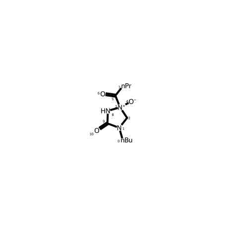 CCCCN1C[N+]([O-])(C(=O)CCC)NC1=O